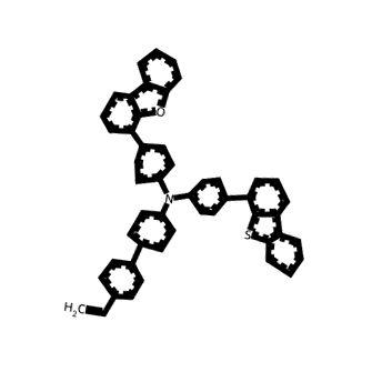 C=Cc1ccc(-c2ccc(N(c3ccc(-c4cccc5c4oc4ccccc45)cc3)c3ccc(-c4cccc5c4sc4ccccc45)cc3)cc2)cc1